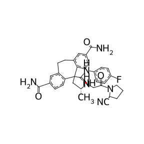 C[C@H](CC1(C(=N)Nc2ccc(F)cc2)c2ccc(C(N)=O)cc2CCc2cc(C(N)=O)ccc21)NCC(=O)N1CCC[C@H]1C#N